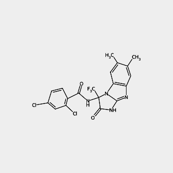 Cc1cc2nc3n(c2cc1C)C(NC(=O)c1ccc(Cl)cc1Cl)(C(F)(F)F)C(=O)N3